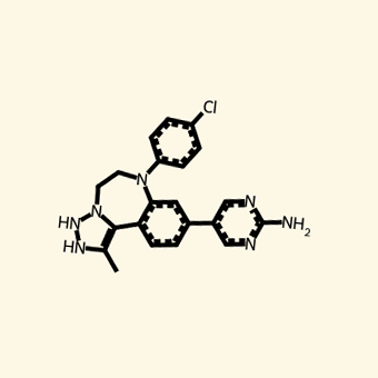 CC1=C2c3ccc(-c4cnc(N)nc4)cc3N(c3ccc(Cl)cc3)CCN2NN1